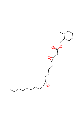 CCCCCCCCC1OC1CCCCC1OC1CC(=O)OCC1CCCCC1C